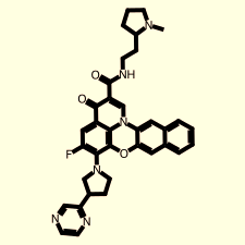 CN1CCCC1CCNC(=O)c1cn2c3c(c(N4CCC(c5cnccn5)C4)c(F)cc3c1=O)Oc1cc3ccccc3cc1-2